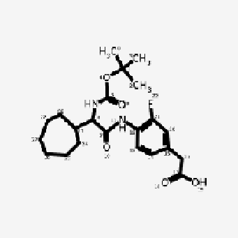 CC(C)(C)OC(=O)NC(C(=O)Nc1ccc(CC(=O)O)cc1F)C1CCCCCC1